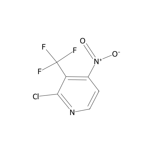 O=[N+]([O-])c1ccnc(Cl)c1C(F)(F)F